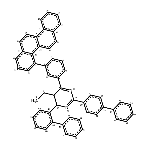 CCC1C(c2cccc(-c3cncc4ccc5c6ccccc6ccc5c34)c2)=NC(c2ccc(-c3ccccc3)cc2)=NC1c1ccccc1-c1ccccc1